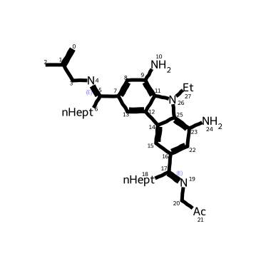 C=C(C)C/N=C(\CCCCCCC)c1cc(N)c2c(c1)c1cc(/C(CCCCCCC)=N/CC(C)=O)cc(N)c1n2CC